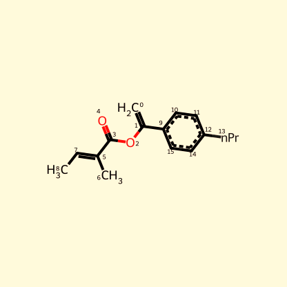 C=C(OC(=O)/C(C)=C/C)c1ccc(CCC)cc1